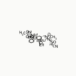 CCCCC1=N[C@](C)(CNC(=O)CC#N)C(=O)N1Cc1ccc(-c2ccccc2S(=O)(=O)Nc2noc(C)c2C)c(COCC)c1